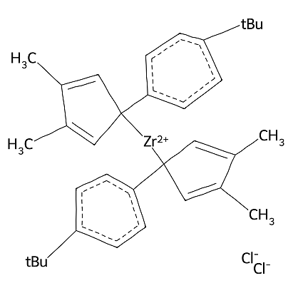 CC1=C[C]([Zr+2][C]2(c3ccc(C(C)(C)C)cc3)C=C(C)C(C)=C2)(c2ccc(C(C)(C)C)cc2)C=C1C.[Cl-].[Cl-]